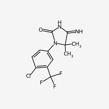 CC1(C)C(=N)NC(=O)N1c1ccc(Cl)c(C(F)(F)F)c1